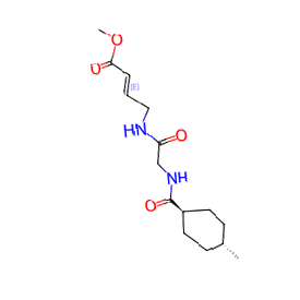 COC(=O)/C=C/CNC(=O)CNC(=O)[C@H]1CC[C@H](C)CC1